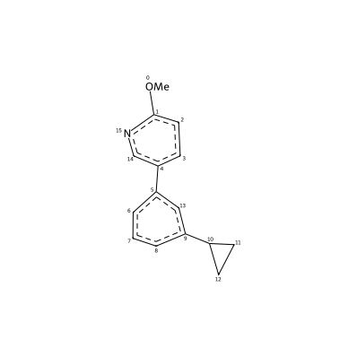 COc1ccc(-c2cccc(C3CC3)c2)cn1